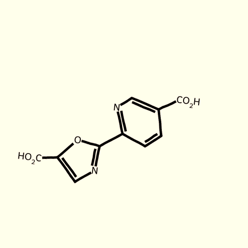 O=C(O)c1ccc(-c2ncc(C(=O)O)o2)nc1